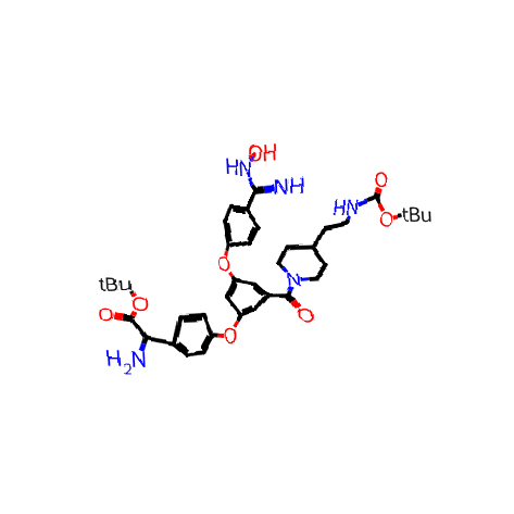 CC(C)(C)OC(=O)NCCC1CCN(C(=O)c2cc(Oc3ccc(C(=N)NO)cc3)cc(Oc3ccc(C(N)C(=O)OC(C)(C)C)cc3)c2)CC1